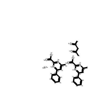 CC(=O)CC(C)=O.Cc1cc(-c2ccccc2)nc(C(=O)[O-])n1.Cc1cc(-c2ccccc2)nc(C(=O)[O-])n1.[Ir+3]